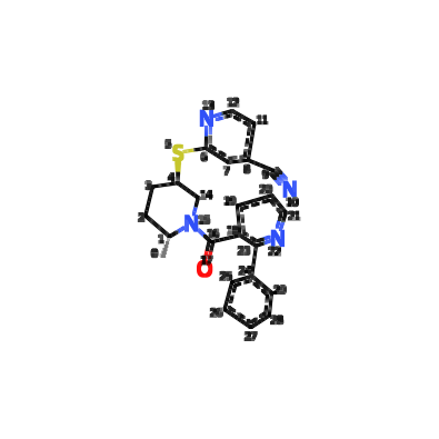 C[C@@H]1CC[C@@H](Sc2cc(C#N)ccn2)CN1C(=O)c1cccnc1-c1ccccc1